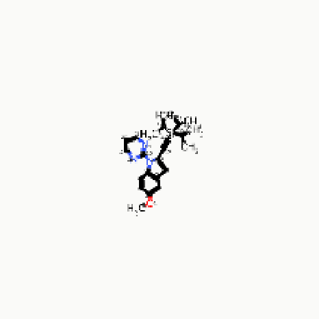 COc1ccc2c(c1)cc(C#C[Si](C(C)C)(C(C)C)C(C)C)n2-c1ncccn1